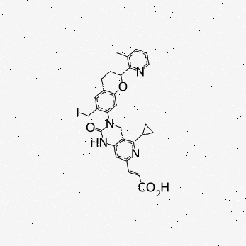 Cc1cccnc1C1CCc2cc(CI)c(N3Cc4c(cc(/C=C/C(=O)O)nc4C4CC4)NC3=O)cc2O1